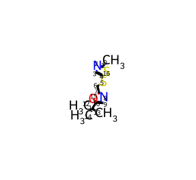 Cc1ncc(SCc2ncc(C(C)(C)C)o2)s1